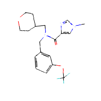 Cn1cnc(C(=O)N(Cc2cccc(OC(F)(F)F)c2)CC2CCOCC2)c1